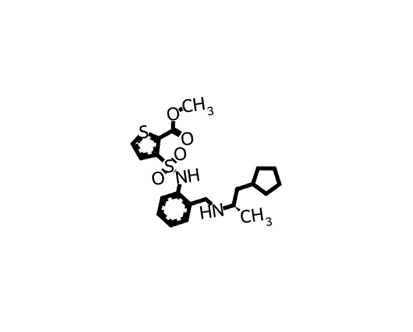 COC(=O)c1sccc1S(=O)(=O)Nc1ccccc1CN[C@@H](C)CC1CCCC1